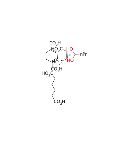 CCCC(O)O.O=C(O)/C=C\C(=O)O.O=C(O)CCCCC(=O)O.O=C(O)c1ccc(C(=O)O)cc1